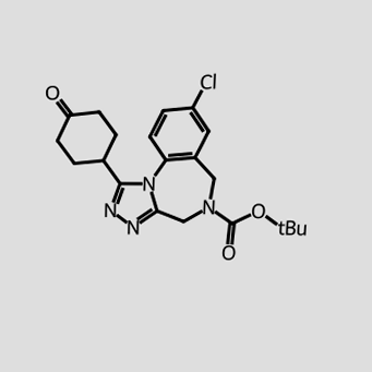 CC(C)(C)OC(=O)N1Cc2cc(Cl)ccc2-n2c(nnc2C2CCC(=O)CC2)C1